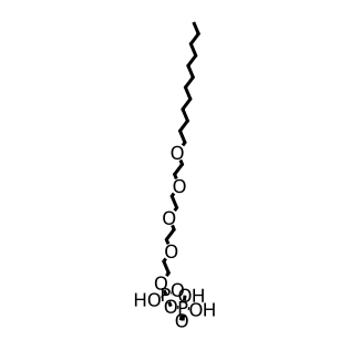 CCCCCCCCCCCCOCCOCCOCCOCCOP(=O)(O)OP(=O)(O)O